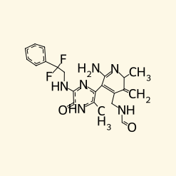 C=C1C(CNC=O)=C(c2nc(NCC(F)(F)c3ccccc3)c(=O)[nH]c2C)C(N)=NC1C